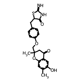 Cc1cc2c(cc1O)C(=O)CC(C)(COc1ccc(CC3SC(=N)NC3=O)cc1)O2